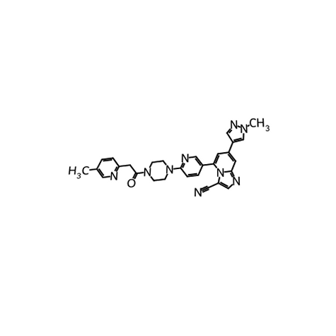 Cc1ccc(CC(=O)N2CCN(c3ccc(-c4cc(-c5cnn(C)c5)cc5ncc(C#N)n45)cn3)CC2)nc1